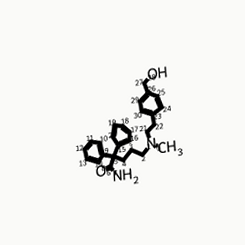 CN(CCCC(C(N)=O)(c1ccccc1)c1ccccc1)CCc1ccc(CO)cc1